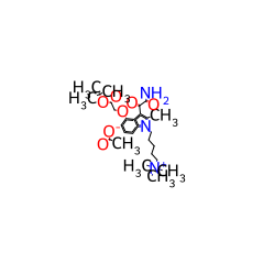 CC(=O)[O-].Cc1c(C(=O)C(N)=O)c2c(OCC(=O)OC(C)(C)C)cccc2n1CCCCC[N+](C)(C)C